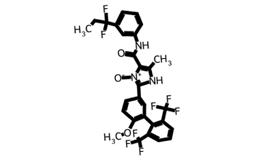 CCC(F)(F)c1cccc(NC(=O)c2c(C)[nH]c(-c3ccc(OC)c(-c4c(C(F)(F)F)cccc4C(F)(F)F)c3)[n+]2[O-])c1